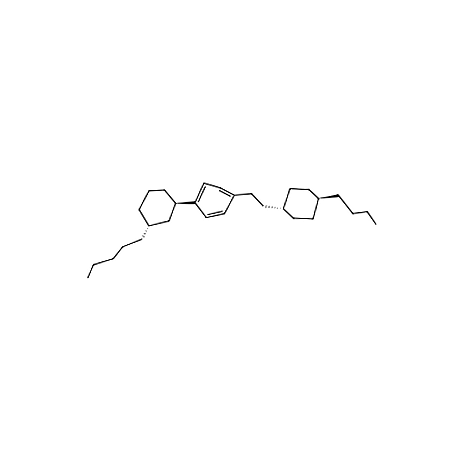 CCCCC[C@@H]1CCC[C@@H](c2ccc(CC[C@H]3CC[C@H](CCCC)CC3)cc2)C1